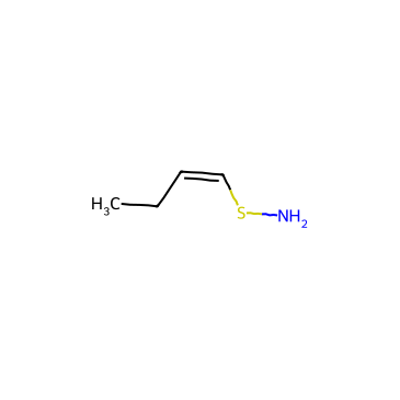 CC/C=C\SN